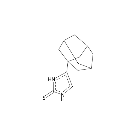 S=c1[nH]cc(C23CC4CC(CC(C4)C2)C3)[nH]1